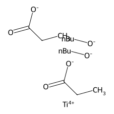 CCC(=O)[O-].CCC(=O)[O-].CCCC[O-].CCCC[O-].[Ti+4]